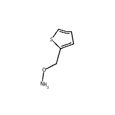 NOCc1cccs1